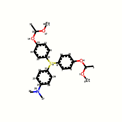 CCOC(C)Oc1ccc([S+](c2ccc(OC(C)OCC)cc2)c2ccc(N(C)C)cc2)cc1